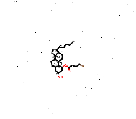 CC(C)CCC[C@@H](C)[C@H]1CC[C@H]2[C@@H]3CC=C4C[C@@H](O)CC(OC(=O)CCCBr)[C@]4(C)[C@H]3CC[C@]12C